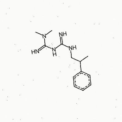 CC(CNC(=N)NC(=N)N(C)C)c1ccccc1